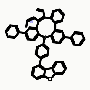 C=Cc1c(/C=C\C)c2cc(-c3ccccc3)ccc2n(-c2ccc(-c3cccc4oc5ccccc5c34)cc2)c2ccc(-c3ccccc3)cc2c2ccccc12